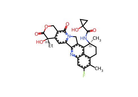 CC[C@@]1(O)C(=O)OCc2c1cc1n(c2=O)Cc2c-1nc1cc(F)c(C)c3c1c2[C@@](C)(NC(=O)C1(O)CC1)CC3